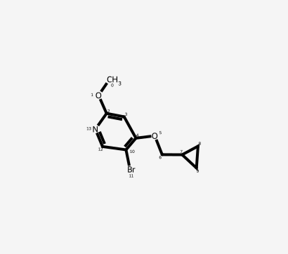 COc1cc(OCC2CC2)c(Br)cn1